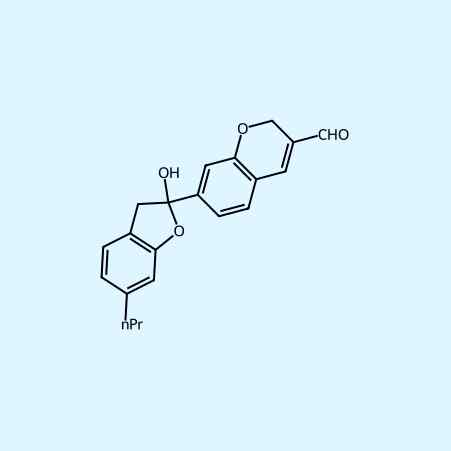 CCCc1ccc2c(c1)OC(O)(c1ccc3c(c1)OCC(C=O)=C3)C2